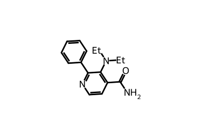 CCN(CC)c1c(C(N)=O)ccnc1-c1ccccc1